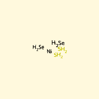 S.S.[Ni].[SeH2].[SeH2]